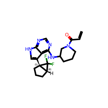 C=CC(=O)N1CCCC(Nc2ncnc3[nH]cc([C@]45CCC[C@H]4C5(F)F)c23)C1